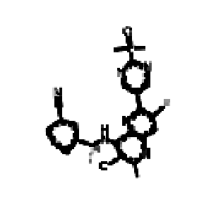 Cc1nc2cc(F)c(-c3cnc(P(C)(C)=O)nc3)nc2c(N[C@H](C)c2cccc(C#N)c2)c1Cl